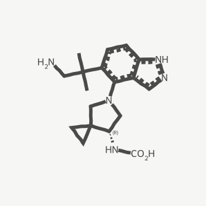 CC(C)(CN)c1ccc2[nH]ncc2c1N1C[C@H](NC(=O)O)C2(CC2)C1